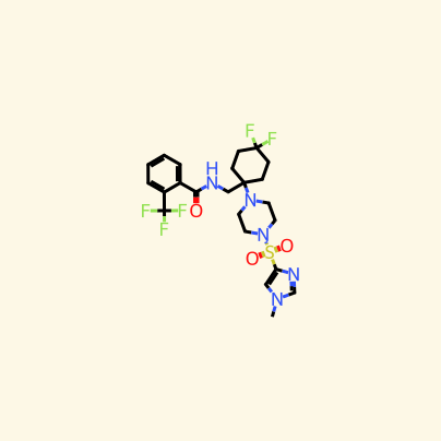 Cn1cnc(S(=O)(=O)N2CCN(C3(CNC(=O)c4ccccc4C(F)(F)F)CCC(F)(F)CC3)CC2)c1